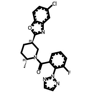 C[C@@H]1CC[C@@H](c2nc3cc(Cl)ccc3o2)CN1C(=O)c1cccc(F)c1-n1nccn1